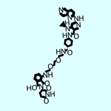 O=C1CCC(N2C(=O)c3c(NCCOCCOCCNC(=O)[C@H]4CC[C@H](NC(=O)c5cnc(Nc6ccc7cnccc7n6)cc5NC5CC5)CC4)cccc3C2O)C(=O)N1